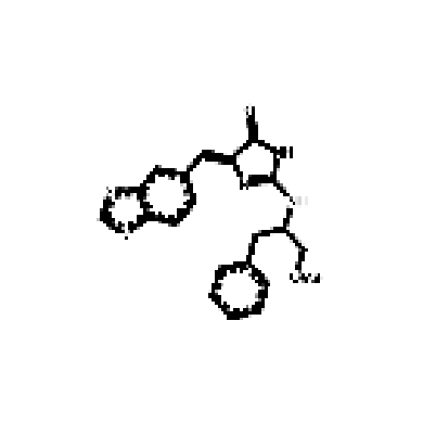 COCC(Cc1ccccc1)NC1=N/C(=C\c2ccc3ncsc3c2)C(=O)N1